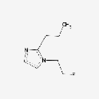 CCCc1nccn1CCF